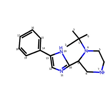 CC(C)(C)N1CCNCC1c1ncc(-c2ccccc2)[nH]1